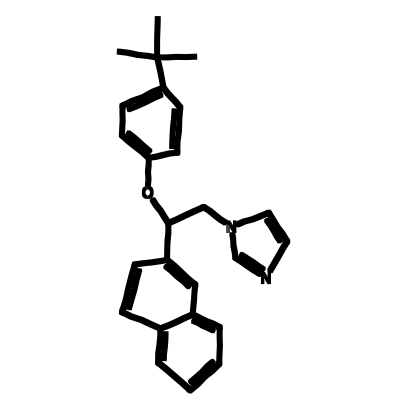 CC(C)(C)c1ccc(OC(Cn2ccnc2)c2ccc3ccccc3c2)cc1